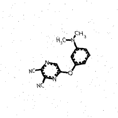 CN(C)c1cccc(Oc2cnc(C#N)c(C#N)n2)c1